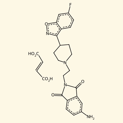 Nc1ccc2c(c1)C(=O)N(CCN1CCC(c3noc4cc(F)ccc34)CC1)C2=O.O=C(O)C=CC(=O)O